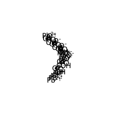 O=P([O-])([O-])O.O=P([O-])([O-])O.O=P([O-])([O-])O.O=P([O-])([O-])O.O=P([O-])([O-])O.[Al+3].[Al+3].[Al+3].[OH-].[OH-].[OH-].[OH-].[OH-].[Pb+2].[Pb+2].[Pb+2]